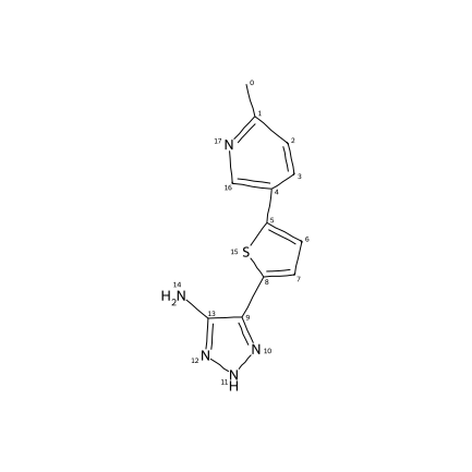 Cc1ccc(-c2ccc(-c3n[nH]nc3N)s2)cn1